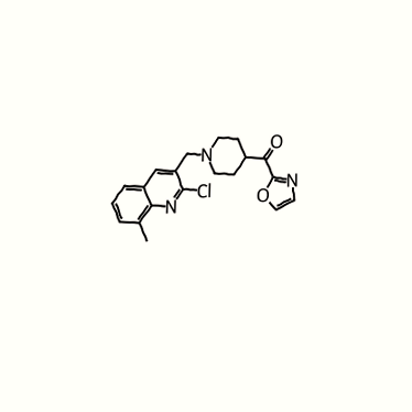 Cc1cccc2cc(CN3CCC(C(=O)c4ncco4)CC3)c(Cl)nc12